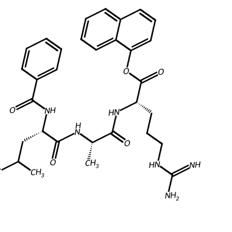 CC(C)C[C@H](NC(=O)c1ccccc1)C(=O)N[C@@H](C)C(=O)N[C@@H](CCCNC(=N)N)C(=O)Oc1cccc2ccccc12